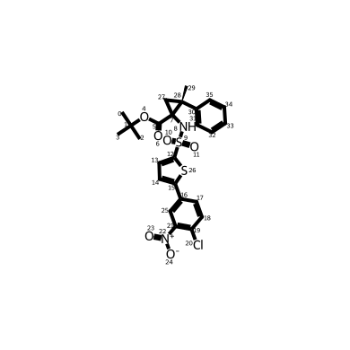 CC(C)(C)OC(=O)C1(NS(=O)(=O)c2ccc(-c3ccc(Cl)c([N+](=O)[O-])c3)s2)C[C@]1(C)c1ccccc1